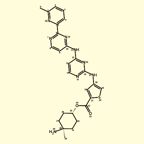 Cc1cccc(-c2nccc(Nc3ccnc(Nc4csc(C(=O)O[C@H]5CC[C@](C)(N)CC5)c4)n3)n2)n1